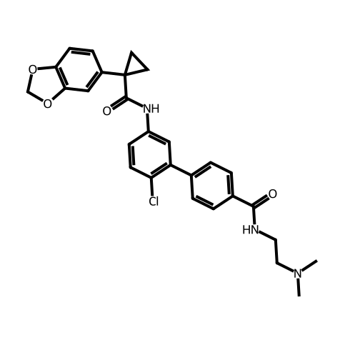 CN(C)CCNC(=O)c1ccc(-c2cc(NC(=O)C3(c4ccc5c(c4)OCO5)CC3)ccc2Cl)cc1